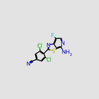 N#Cc1cc(Cl)c(-c2nc3c(F)cnc(N)c3s2)c(Cl)c1